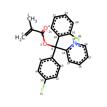 C=C(C)C(=O)OC(c1ccc(F)cc1)(c1ccccn1)c1ccccc1F